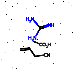 C=CCC#N.CC(=O)O.N=C(N)N